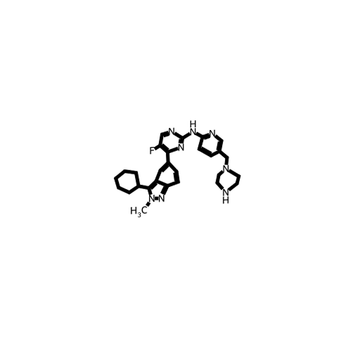 Cn1nc2ccc(-c3nc(Nc4ccc(CN5CCNCC5)cn4)ncc3F)cc2c1C1CCCCC1